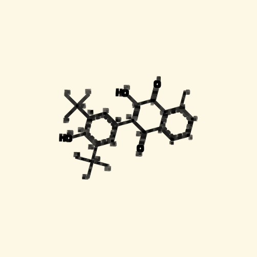 Cc1cccc2c1C(=O)C(O)=C(c1cc(C(C)(C)C)c(O)c(C(C)(C)C)c1)C2=O